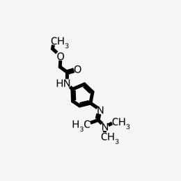 CCOCC(=O)Nc1ccc(/N=C(\C)N(C)C)cc1